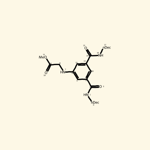 CCCCCCCCCCNC(=O)c1cc(NCC(=O)OC)cc(C(=O)NCCCCCCCCCC)c1